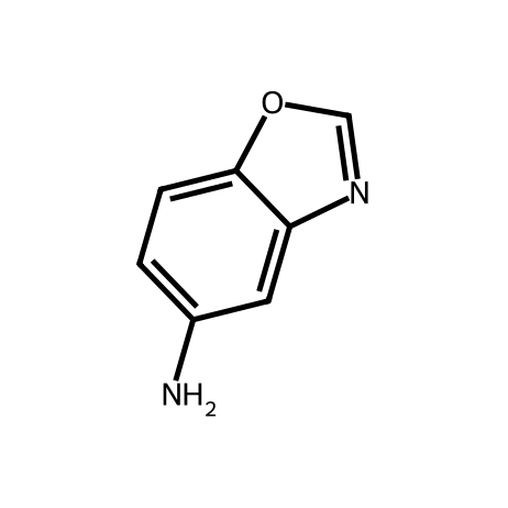 Nc1ccc2ocnc2c1